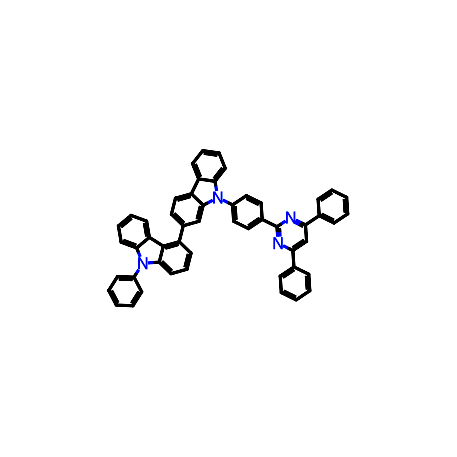 c1ccc(-c2cc(-c3ccccc3)nc(-c3ccc(-n4c5ccccc5c5ccc(-c6cccc7c6c6ccccc6n7-c6ccccc6)cc54)cc3)n2)cc1